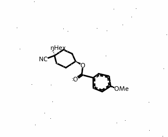 CCCCCC[C@]1(C#N)CC[C@@H](OC(=O)c2ccc(OC)cc2)CC1